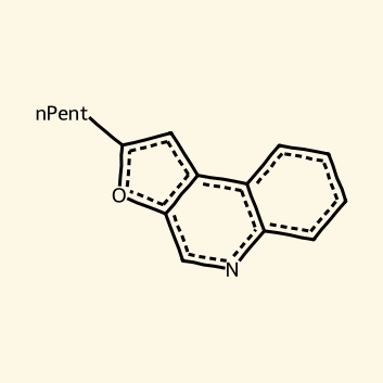 CCCCCc1cc2c(cnc3ccccc32)o1